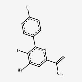 C=C(c1cc(C(C)C)c(F)c(-c2ccc(F)cc2)n1)C(F)(F)F